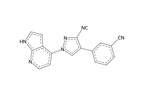 [C-]#[N+]c1nn(-c2ccnc3[nH]ccc23)cc1-c1cccc(C#N)c1